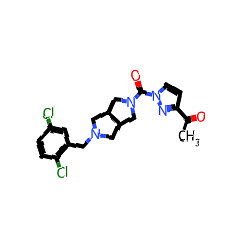 CC(=O)c1ccn(C(=O)N2CC3CN(Cc4cc(Cl)ccc4Cl)CC3C2)n1